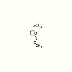 C=C[C@@H]1CCC(COC)O1